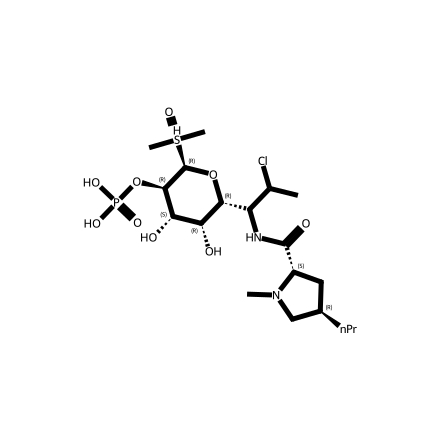 CCC[C@@H]1C[C@@H](C(=O)NC(C(C)Cl)[C@H]2O[C@H]([SH](C)(C)=O)[C@H](OP(=O)(O)O)[C@@H](O)[C@H]2O)N(C)C1